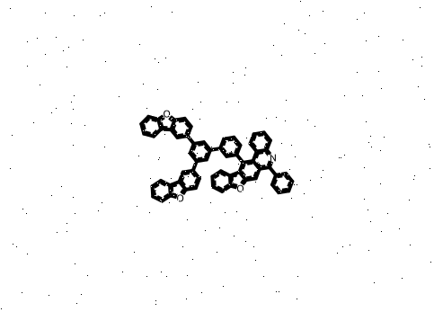 c1ccc(-c2nc3ccccc3c3c(-c4cccc(-c5cc(-c6ccc7oc8ccccc8c7c6)cc(-c6ccc7oc8ccccc8c7c6)c5)c4)c4c(cc23)oc2ccccc24)cc1